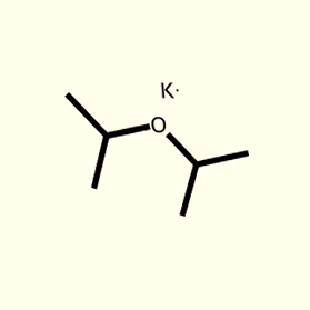 CC(C)OC(C)C.[K]